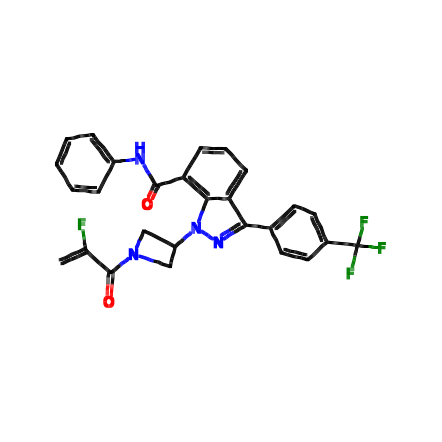 C=C(F)C(=O)N1CC(n2nc(-c3ccc(C(F)(F)F)cc3)c3cccc(C(=O)Nc4ccccc4)c32)C1